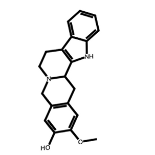 COc1cc2c(cc1O)CN1CCc3c([nH]c4ccccc34)C1C2